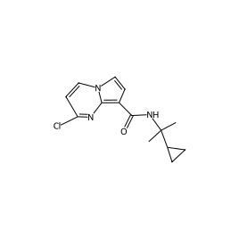 CC(C)(NC(=O)c1ccn2ccc(Cl)nc12)C1CC1